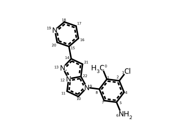 Cc1c(Cl)cc(N)cc1-n1ccn2nc(-c3cccnc3)cc12